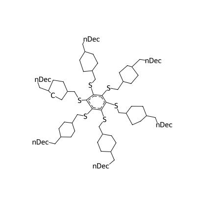 CCCCCCCCCCCC1CCC(CSc2c(SCC3CCC(CCCCCCCCCCC)CC3)c(SCC3CCC(CCCCCCCCCCC)CC3)c(SCC3CCC(CCCCCCCCCCC)CC3)c(SCC3CCC(CCCCCCCCCCC)CC3)c2SCC2CCC(CCCCCCCCCCC)CC2)CC1